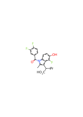 Cc1c(C(C(=O)O)C(C)C)c2c(F)c(O)ccc2n1C(=O)c1ccc(F)c(F)c1